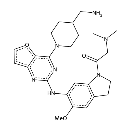 COc1cc2c(cc1Nc1nc(N3CCC(CN)CC3)c3occc3n1)N(C(=O)CN(C)C)CC2